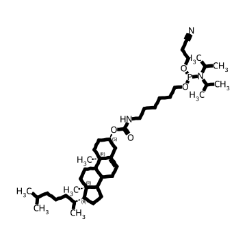 CC(C)CCCC(C)[C@H]1CCC2C3CC=C4C[C@@H](OC(=O)NCCCCCCOP(OCCC#N)N(C(C)C)C(C)C)CC[C@]4(C)C3CC[C@@]21C